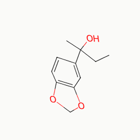 CCC(C)(O)c1ccc2c(c1)OCO2